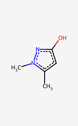 Cc1cc(O)nn1C